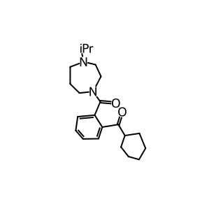 CC(C)N1CCCN(C(=O)c2ccccc2C(=O)C2CCCCC2)CC1